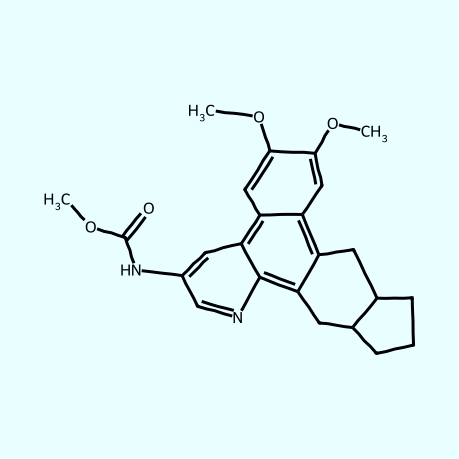 COC(=O)Nc1cnc2c3c(c4cc(OC)c(OC)cc4c2c1)CC1CCCC1C3